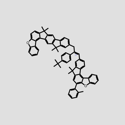 Cc1ccccc1-c1cc2c(c3c1oc1ccccc13)-c1ccc(/C=C(/Cc3ccc4c(c3)C(C)(C)c3cc5c(cc3-4)C(C)(C)c3ccc4oc6ccccc6c4c3-5)c3ccc(C(C)(C)C)cc3)cc1C2(C)C